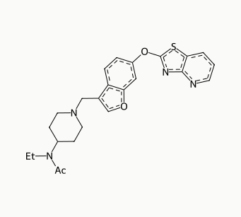 CCN(C(C)=O)C1CCN(Cc2coc3cc(Oc4nc5ncccc5s4)ccc23)CC1